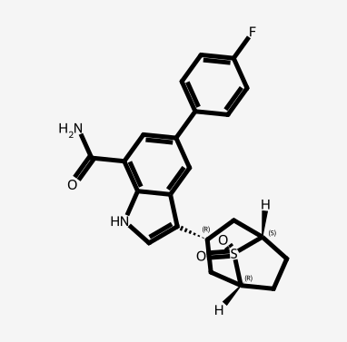 NC(=O)c1cc(-c2ccc(F)cc2)cc2c([C@H]3C[C@H]4CC[C@@H](C3)S4(=O)=O)c[nH]c12